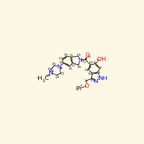 CC(C)OCc1n[nH]c2cc(O)c(C(=O)N3Cc4ccc(N5CCN(C)CC5)cc4C3)cc12